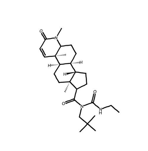 CCNC(=O)N(CC(C)(C)C)C(=O)C1CC[C@H]2[C@@H]3CCC4N(C)C(=O)C=C[C@]4(C)[C@@H]3CC[C@]12C